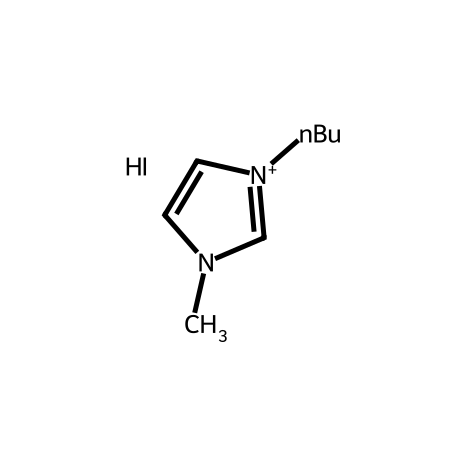 CCCC[n+]1ccn(C)c1.I